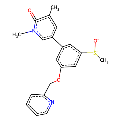 Cc1cc(-c2cc(OCc3ccccn3)cc([S+](C)[O-])c2)cn(C)c1=O